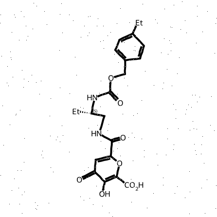 CCc1ccc(COC(=O)N[C@@H](CC)CNC(=O)c2cc(=O)c(O)c(C(=O)O)o2)cc1